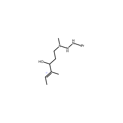 C/C=C(\C)C(O)CCN(C)NNC(C)C